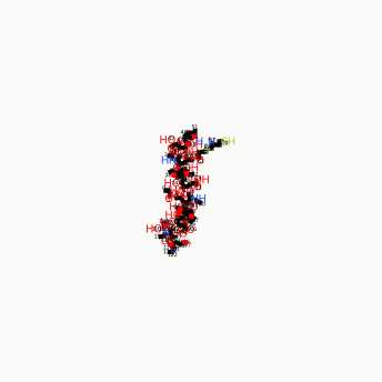 C=CC(=O)OCC1O[C@@H](O[C@H]2C(C(=O)O)O[C@@H](C(CC)(CCC)C(CC)(CCC)OC3C(NC(C)=O)[C@H](O[C@H]4C(C(=O)O)O[C@@H](C(C)(CC)CCC)[C@@H](O)C4O)OC(COC(=O)CCSCC(N)CCS)[C@H]3O)C(O)C2O)C(NC(C)=O)C(OC(CCC)(CCC)C(CC)(CCC)[C@@H]2OC(C(=O)O)[C@H](O[C@H](OC(C)CO)C(NC(C)=O)[C@@H](C)OC(C)(/C=C\C)CCCC)C(O)C2O)[C@@H]1O